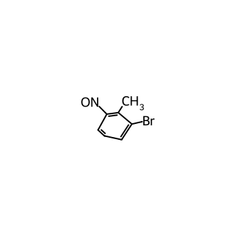 Cc1c(Br)cccc1N=O